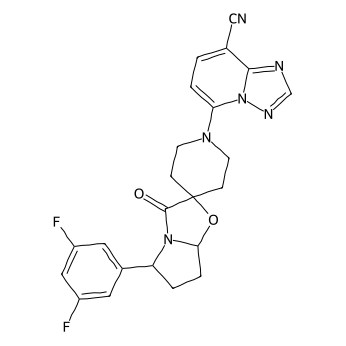 N#Cc1ccc(N2CCC3(CC2)OC2CCC(c4cc(F)cc(F)c4)N2C3=O)n2ncnc12